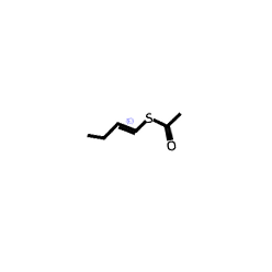 CC/C=C/SC(C)=O